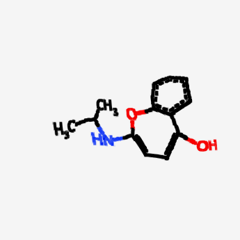 CC(C)NC1=CC=C(O)c2ccccc2O1